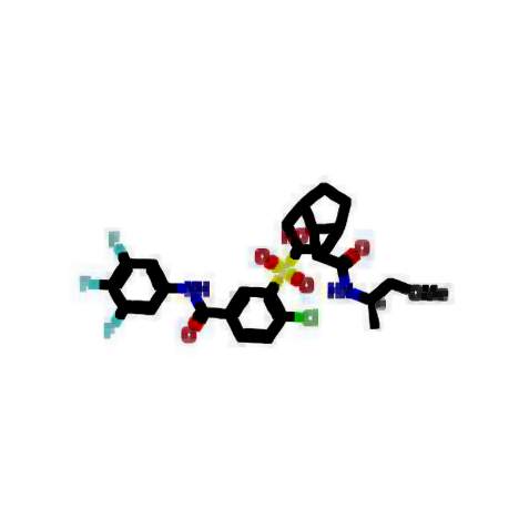 COC[C@@H](C)NC(=O)CC1(O)C2CCC1CC(S(=O)(=O)c1cc(C(=O)Nc3cc(F)c(F)c(F)c3)ccc1Cl)C2